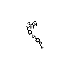 Cc1nocc1C(=O)NC(C)Cc1ccc(C2CN(c3ccc(OCC4CC4)cc3)C2)cc1